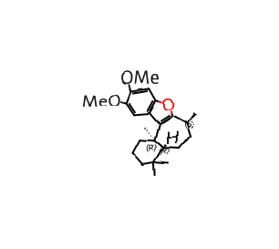 COc1cc2oc3c(c2cc1OC)[C@]1(C)CCCC(C)(C)[C@H]1CC[C@@H]3C